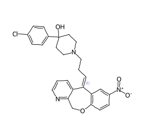 O=[N+]([O-])c1ccc2c(c1)/C(=C/CCN1CCC(O)(c3ccc(Cl)cc3)CC1)c1cccnc1CO2